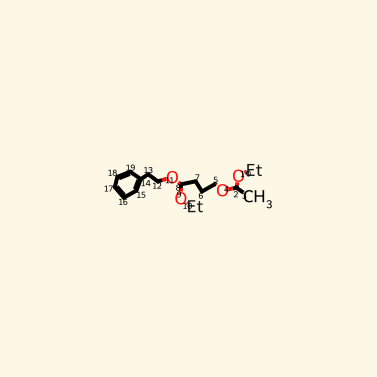 CCOC(C)OCCCC(OCC)OCCc1ccccc1